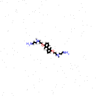 Cc1c(OCCCN(C)CCCN)cccc1-c1cccc(OCCCN(C)CCCN)c1C